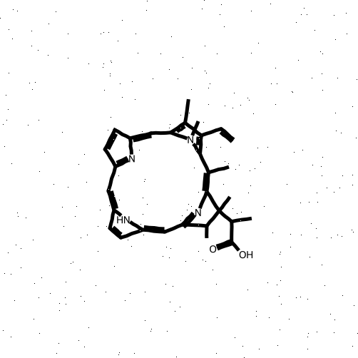 C=Cc1c(C)c2cc3nc(cc4ccc(cc5nc(c(C)c1n2C)C(C)(C(C)C(=O)O)C5C)[nH]4)C=C3